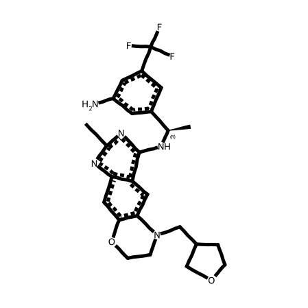 Cc1nc(N[C@H](C)c2cc(N)cc(C(F)(F)F)c2)c2cc3c(cc2n1)OCCN3CC1CCOC1